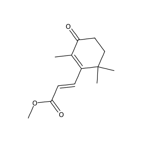 COC(=O)C=CC1=C(C)C(=O)CCC1(C)C